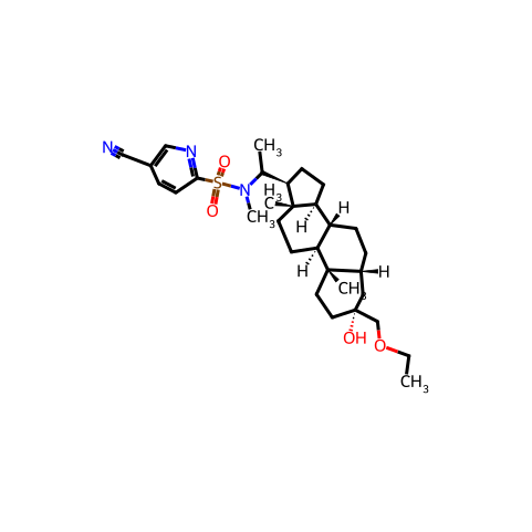 CCOC[C@@]1(O)CC[C@@]2(C)[C@H](CC[C@@H]3[C@@H]2CC[C@]2(C)[C@@H](C(C)N(C)S(=O)(=O)c4ccc(C#N)cn4)CC[C@@H]32)C1